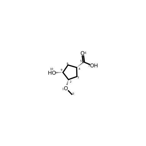 CO[C@H]1C[C@@H](C(=O)O)C[C@H]1O